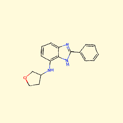 c1ccc(-c2nc3cccc(NC4CCOC4)c3[nH]2)cc1